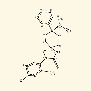 Cc1nc(Cl)ncc1N1C[C@]2(CC[C@](c3ccccc3)(N(C)C)CC2)NC1=O